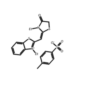 CCN1C(=O)CSC1=Cc1sc2ccccc2[n+]1CC.Cc1ccc(S(=O)(=O)[O-])cc1